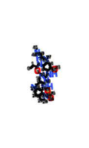 C=CC(=O)Nc1cc(Nc2ncc(C#N)c(Nc3cccc4c3N(S(C)(=O)=O)CC4)n2)c(OC)cc1N(C)CCN(C)C